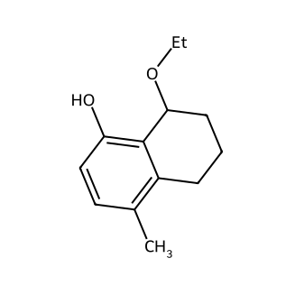 CCOC1CCCc2c(C)ccc(O)c21